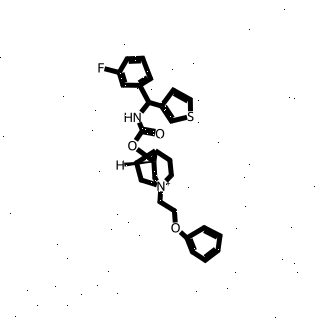 O=C(NC(c1ccsc1)c1cccc(F)c1)O[C@H]1C[N+]2(CCOc3ccccc3)CCC1CC2